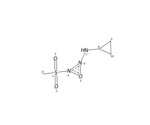 CS(=O)(=O)n1on1NC1CC1